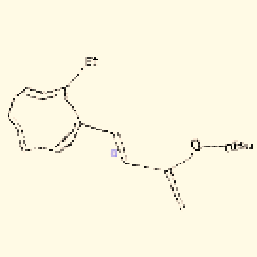 C=C(/C=C/c1ccccc1CC)OCCCC